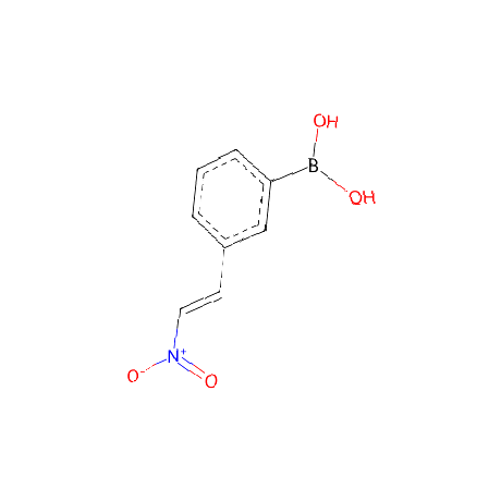 O=[N+]([O-])C=Cc1cccc(B(O)O)c1